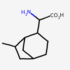 CC1CC2CCC(C(N)C(=O)O)C1C2